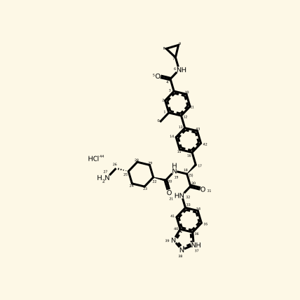 Cc1cc(C(=O)NC2CC2)ccc1-c1ccc(C[C@H](NC(=O)[C@H]2CC[C@H](CN)CC2)C(=O)Nc2ccc3[nH]nnc3c2)cc1.Cl